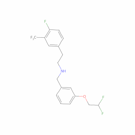 Fc1ccc(CCNCc2cccc(OCC(F)F)c2)cc1C(F)(F)F